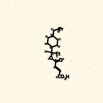 CCC(C)(OC(=O)/C=C/C(=O)O)C1CCC(CC(C)C)CC1